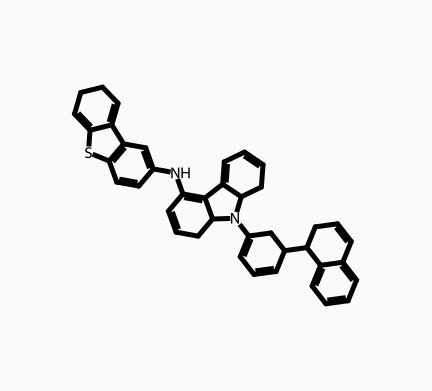 C1=CCC2C(=C1)C1=C(Nc3ccc4sc5c(c4c3)=CCCC=5)C=CCC1N2C1=CC=CC(C2CC=Cc3ccccc32)C1